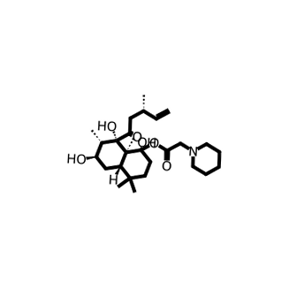 C=C[C@@H](C)CC(=O)[C@]1(O)[C@@H](C)[C@H](O)C[C@H]2C(C)(C)CC[C@](O)(OC(=O)CN3CCCCC3)[C@@]21C